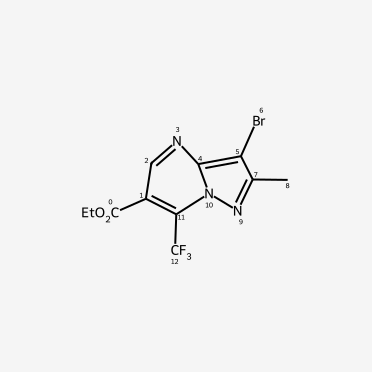 CCOC(=O)c1cnc2c(Br)c(C)nn2c1C(F)(F)F